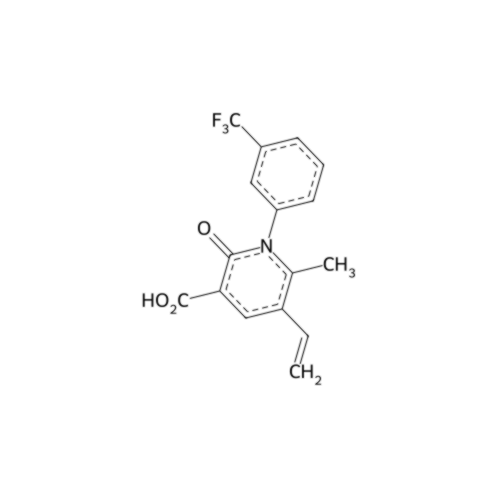 C=Cc1cc(C(=O)O)c(=O)n(-c2cccc(C(F)(F)F)c2)c1C